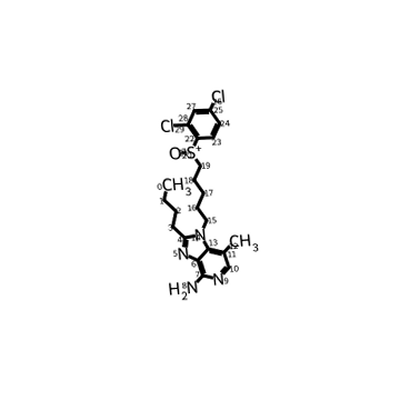 CCCCc1nc2c(N)ncc(C)c2n1CCCCC[S+]([O-])c1ccc(Cl)cc1Cl